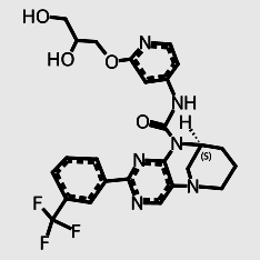 O=C(Nc1ccnc(OCC(O)CO)c1)N1c2nc(-c3cccc(C(F)(F)F)c3)ncc2N2CCC[C@H]1C2